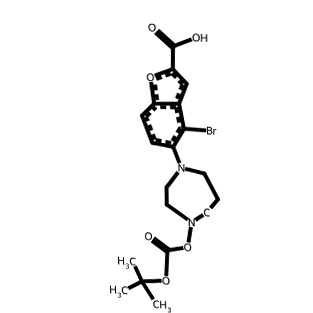 CC(C)(C)OC(=O)ON1CCCN(c2ccc3oc(C(=O)O)cc3c2Br)CC1